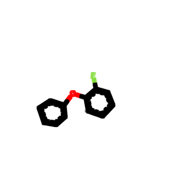 Fc1ccc[c]c1Oc1ccccc1